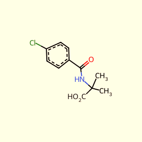 CC(C)(NC(=O)c1ccc(Cl)cc1)C(=O)O